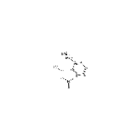 Br.CN(C)CCS.[Mg+2][c]1ccccc1